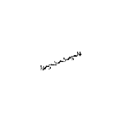 CN(C)CCSCCSCCCSCCSCCN(C)C